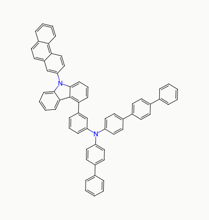 C1=C=Cc2c(ccc3cc(-n4c5ccccc5c5c(-c6cccc(N(c7ccc(-c8ccccc8)cc7)c7ccc(-c8ccc(-c9ccccc9)cc8)cc7)c6)cccc54)ccc23)C=1